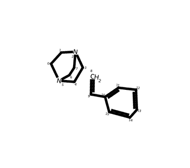 C1CN2CCN1CC2.C=Cc1ccccc1